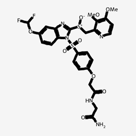 COc1ccnc(C[S+]([O-])c2nc3cc(OC(F)F)ccc3n2S(=O)(=O)c2ccc(OCC(=O)NCC(N)=O)cc2)c1OC